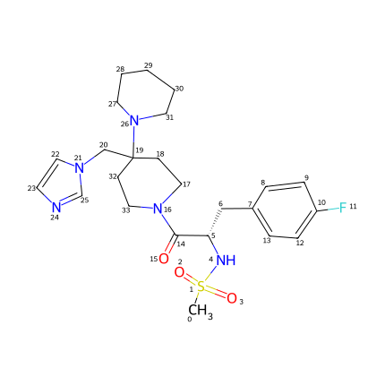 CS(=O)(=O)N[C@@H](Cc1ccc(F)cc1)C(=O)N1CCC(Cn2ccnc2)(N2CCCCC2)CC1